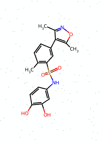 Cc1ccc(-c2c(C)noc2C)cc1S(=O)(=O)Nc1ccc(O)c(O)c1